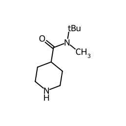 CN(C(=O)C1CCNCC1)C(C)(C)C